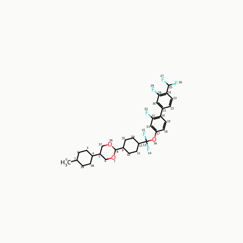 CC1CCC(C2COC(C3CCC(C(F)(F)Oc4ccc(-c5ccc(C(F)F)c(F)c5)c(F)c4)CC3)OC2)CC1